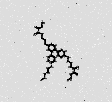 C=C(CO)C(=O)OCCCc1ccc(-c2ccc(OCCOC(=O)C(=C)COC)cc2)c(-c2ccc(CCCCCC)cc2)c1